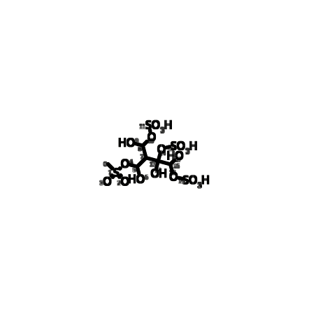 CS(=O)(=O)OC(O)C(C(O)OS(=O)(=O)O)C(O)(OS(=O)(=O)O)C(O)OS(=O)(=O)O